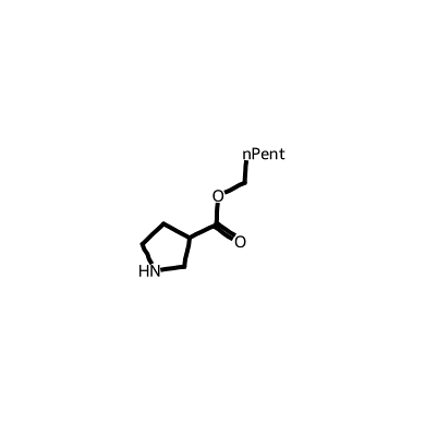 CCCCCCOC(=O)C1CCNC1